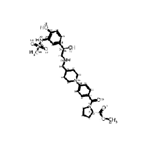 COC(=O)[C@@H]1CCCN1C(=O)c1ccc(N2CCC(CNC[C@H](O)c3ccc(O)c(NS(C)(=O)=O)c3)CC2)cc1